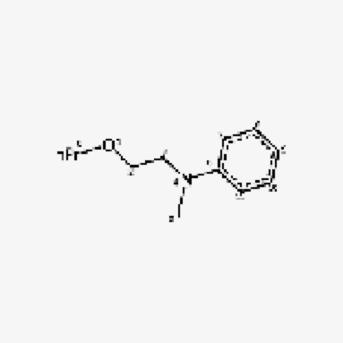 CCCOCCN(I)c1ccccc1